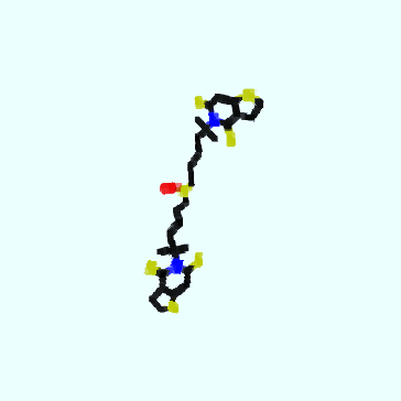 CC(C)(CCCC[S+]([O-])CCCCC(C)(C)N1C(=S)C=C2SCCC2C1=S)N1C(=S)C=C2SCCC2C1=S